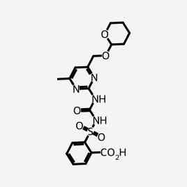 Cc1cc(COC2CCCCO2)nc(NC(=O)NS(=O)(=O)c2ccccc2C(=O)O)n1